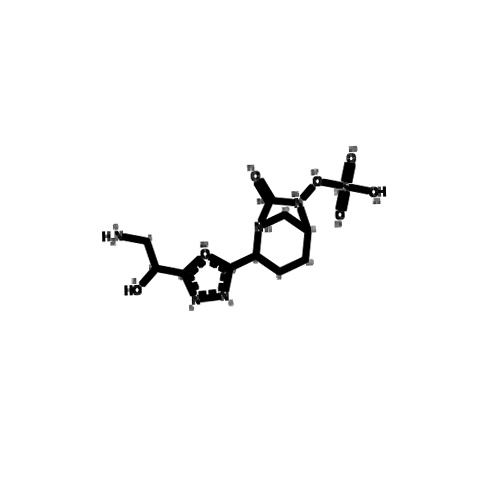 NCC(O)c1nnc(C2CCC3CN2C(=O)N3OS(=O)(=O)O)o1